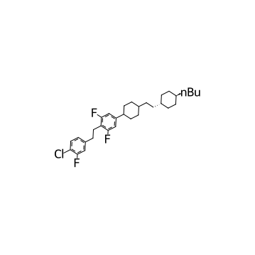 CCCC[C@H]1CC[C@H](CCC2CCC(c3cc(F)c(CCc4ccc(Cl)c(F)c4)c(F)c3)CC2)CC1